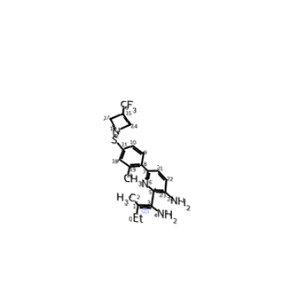 CC/C(C)=C(\N)c1nc(-c2ccc(SN3CC(C(F)(F)F)C3)cc2C)ccc1N